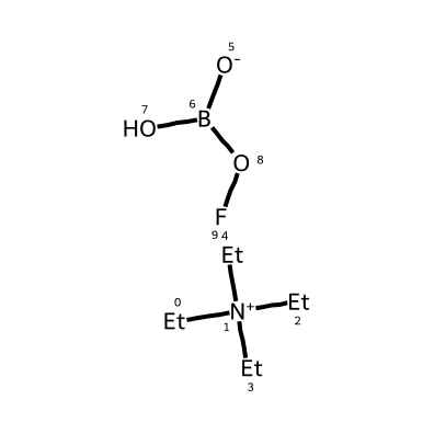 CC[N+](CC)(CC)CC.[O-]B(O)OF